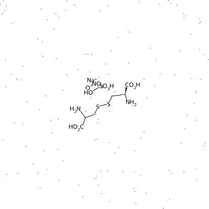 NC(CSSC[C@H](N)C(=O)O)C(=O)O.O=S(=O)(O)O.O=[N+]([O-])[O-].[Na+]